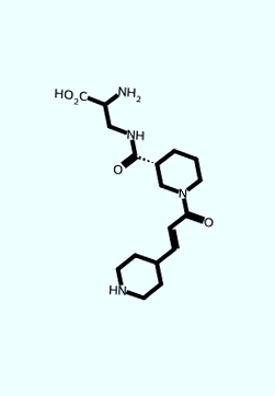 NC(CNC(=O)[C@@H]1CCCN(C(=O)/C=C/C2CCNCC2)C1)C(=O)O